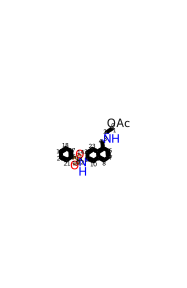 CC(=O)OCCNCc1cccc2cc(NS(=O)(=O)c3ccccc3)ccc12